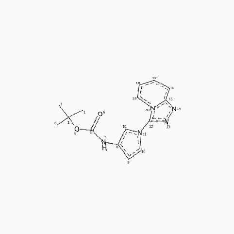 CC(C)(C)OC(=O)Nc1ccn(-c2nnc3ccccn23)c1